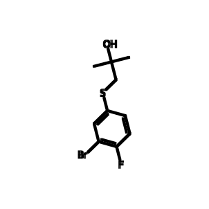 CC(C)(O)CSc1ccc(F)c(Br)c1